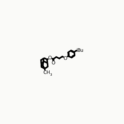 CCC(C)c1ccc(OCCCC(=O)OC2C3CC4CC2CC(C)(C4)C3)cc1